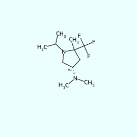 CC(C)N1C[C@@H](N(C)C)CC1(C)C(F)(F)F